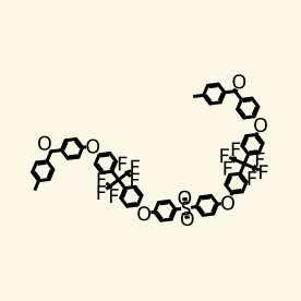 Cc1ccc(C(=O)c2ccc(Oc3ccc(C(c4ccc(Oc5ccc(S(=O)(=O)c6ccc(Oc7ccc(C(c8ccc(Oc9ccc(C(=O)c%10ccc(C)cc%10)cc9)cc8)(C(F)(F)F)C(F)(F)F)cc7)cc6)cc5)cc4)(C(F)(F)F)C(F)(F)F)cc3)cc2)cc1